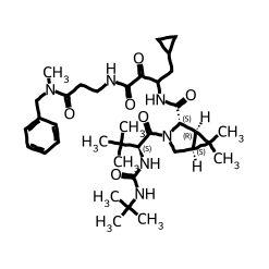 CN(Cc1ccccc1)C(=O)CCNC(=O)C(=O)C(CC1CC1)NC(=O)[C@@H]1[C@@H]2[C@H](CN1C(=O)[C@@H](NC(=O)NC(C)(C)C)C(C)(C)C)C2(C)C